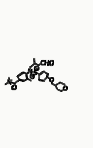 Cc1cc(C(=O)N(C)C)ccc1N(CC(C)CC=O)S(=O)(=O)c1ccc(OCC2CCOCC2)cc1